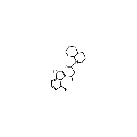 CC(CC(=O)N1CCCC2CCCCC21)c1c[nH]c2cccc(F)c12